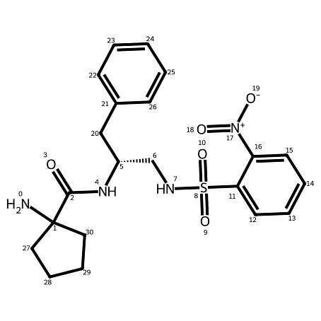 NC1(C(=O)N[C@@H](CNS(=O)(=O)c2ccccc2[N+](=O)[O-])Cc2ccccc2)CCCC1